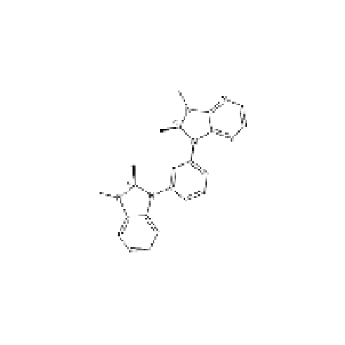 C[C@@H]1N(C)c2ccccc2N1c1cccc(N2c3nccnc3N(C)[C@@H]2C)c1